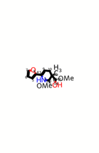 CO[C@H]1NC(c2ccco2)=CC[C@]1(C)[C@@H](O)OC